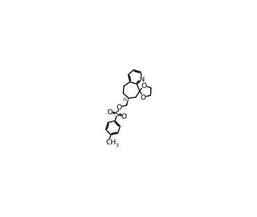 Cc1ccc(S(=O)(=O)OC[C@H]2CCc3cccnc3C3(C2)OCCO3)cc1